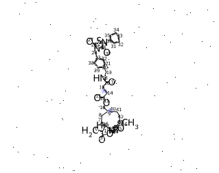 C=C1C(=O)O[C@H]2[C@H]1CC/C(COC(=O)/C=C/C(=O)NCc1ccc(Cn3c(=O)sn(-c4ccccc4)c3=O)cc1)=C\CC[C@@]1(C)O[C@@H]21